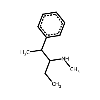 CC[C](NC)C(C)c1ccccc1